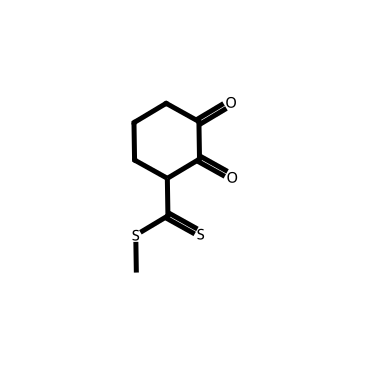 CSC(=S)C1CCCC(=O)C1=O